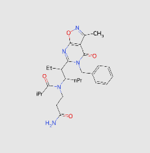 CCCC(C(CC)c1nc2onc(C)c2c(=O)n1Cc1ccccc1)N(CCC(N)=O)C(=O)C(C)C